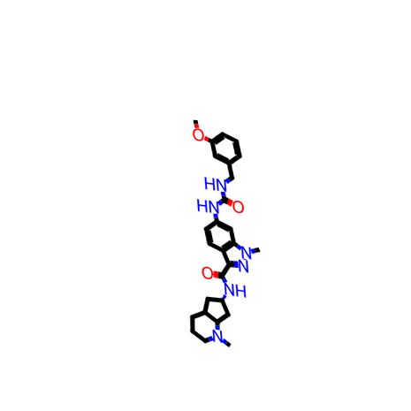 COc1cccc(CNC(=O)Nc2ccc3c(C(=O)N[C@@H]4CC5CCCN(C)C5C4)nn(C)c3c2)c1